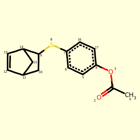 CC(=O)Oc1ccc(SC2CC3C=CC2C3)cc1